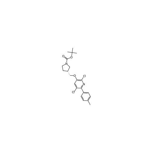 Cc1ccc(-c2nc(Cl)c(OC[C@@H]3CCN(C(=O)OC(C)(C)C)C3)cc2Cl)cc1